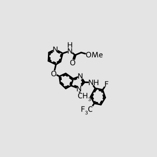 COCC(=O)Nc1cc(Oc2ccc3c(c2)nc(Nc2cc(C(F)(F)F)ccc2F)n3C)ccn1